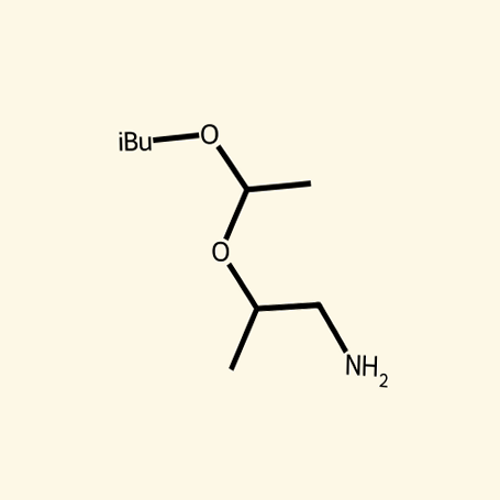 CCC(C)OC(C)OC(C)CN